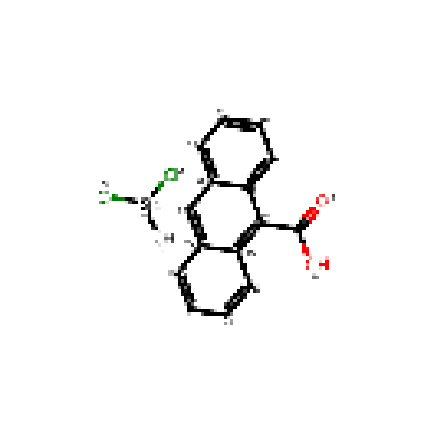 C[SiH](Cl)Cl.O=C(O)c1c2ccccc2cc2ccccc12